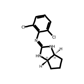 Clc1cccc(Cl)c1N=C1N[C@H]2CCC[C@@H]2N1